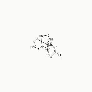 O=C1NCNC12CCNCC2c1ccc(Cl)cc1